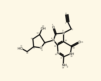 C#CCn1c(=O)n(C2OC(CO)CC2O)c2nc(N)[nH]c(=O)c21